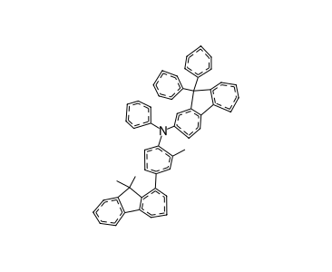 Cc1cc(-c2cccc3c2C(C)(C)c2ccccc2-3)ccc1N(c1ccccc1)c1ccc2c(c1)C(c1ccccc1)(c1ccccc1)c1ccccc1-2